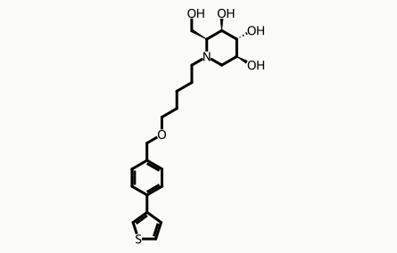 OC[C@H]1[C@@H](O)[C@H](O)[C@@H](O)CN1CCCCCOCc1ccc(-c2ccsc2)cc1